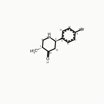 C[C@@H]1CN[C@@H](c2ccc(Br)cc2)CC1=O